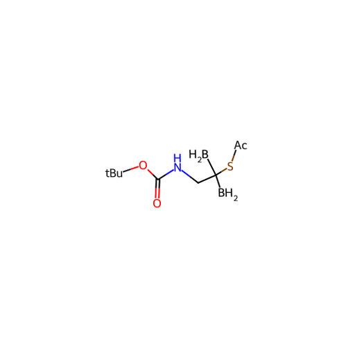 BC(B)(CNC(=O)OC(C)(C)C)SC(C)=O